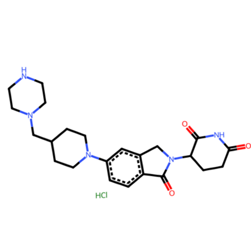 Cl.O=C1CCC(N2Cc3cc(N4CCC(CN5CCNCC5)CC4)ccc3C2=O)C(=O)N1